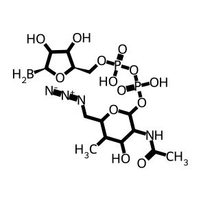 B[C@@H]1O[C@H](COP(=O)(O)OP(=O)(O)OC2OC(CN=[N+]=[N-])C(C)C(O)C2NC(C)=O)C(O)C1O